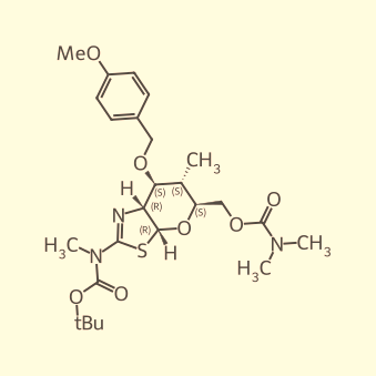 COc1ccc(CO[C@H]2[C@H](C)[C@@H](COC(=O)N(C)C)O[C@@H]3SC(N(C)C(=O)OC(C)(C)C)=N[C@H]23)cc1